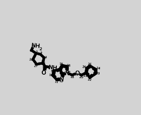 NCC1CCC(C(=O)Nc2ccnc3c2ccn3COCc2ccccc2)CC1